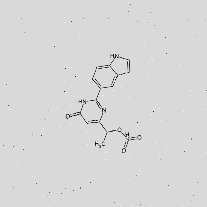 CC(O[SH](=O)=O)c1cc(=O)[nH]c(-c2ccc3[nH]ccc3c2)n1